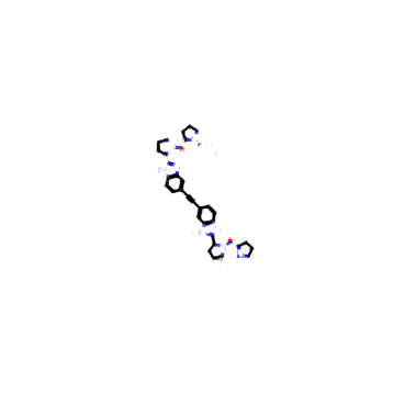 CN1CCC[C@H]1C(=O)N1CCCC1c1nc2ccc(C#Cc3ccc4[nH]c([C@@H]5CCCN5C(=O)[C@@H]5CCCN5C)nc4c3)cc2[nH]1